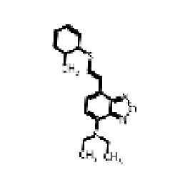 CCN(CC)c1ccc(/C=C/SC2C=CC=CC2C)c2nonc12